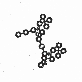 c1ccc(-c2ccc(-c3ccc(N(c4ccc5c(c4)C(c4ccccc4)(c4ccccc4)c4ccccc4-5)c4cccc5c4oc4ccc(-c6ccc(-c7cccc(N(c8ccc9c(c8)C(c8ccccc8)(c8ccccc8)c8ccccc8-9)c8ccccc8-c8cccc9c8sc8ccccc89)c7)cc6)cc45)cc3)cc2)cc1